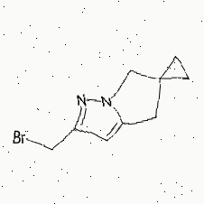 BrCc1cc2n(n1)CC1(CC1)C2